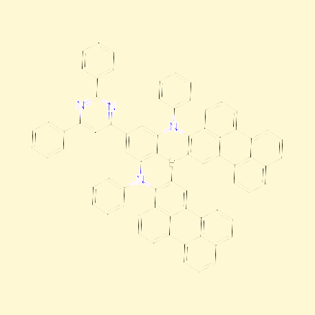 c1ccc(-c2cc(-c3cc4c5c(c3)N(c3ccccc3)c3c(cc6c7cccc8cccc(c9cccc3c96)c87)B5c3cc5c6cccc7cccc(c8cccc(c3N4c3ccccc3)c85)c76)nc(-c3ccccc3)n2)cc1